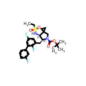 CCS(=O)(=O)N[C@@H]1[C@H](Cc2cc(F)cc(-c3cccc(F)c3)c2F)N(C(=O)OC(C)(C)C)CC12CC2